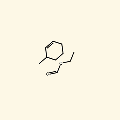 CC1C=CCCC1.CCOC=O